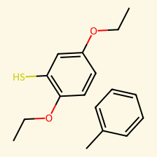 CCOc1ccc(OCC)c(S)c1.Cc1ccccc1